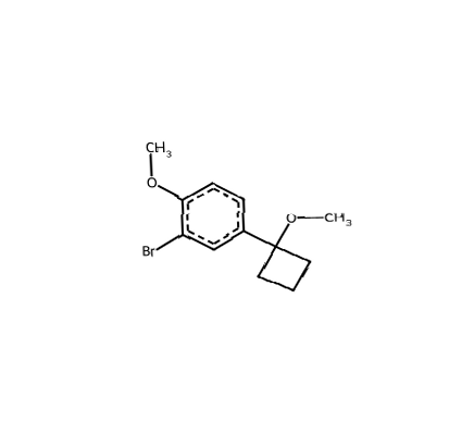 COc1ccc(C2(OC)CCC2)cc1Br